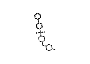 CC1CCN(CC2CCN(S(=O)(=O)c3ccc(-c4ccccc4)cc3)CC2)CC1